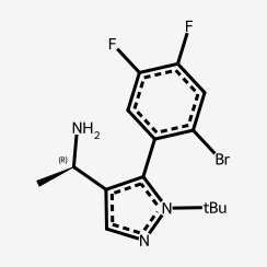 C[C@@H](N)c1cnn(C(C)(C)C)c1-c1cc(F)c(F)cc1Br